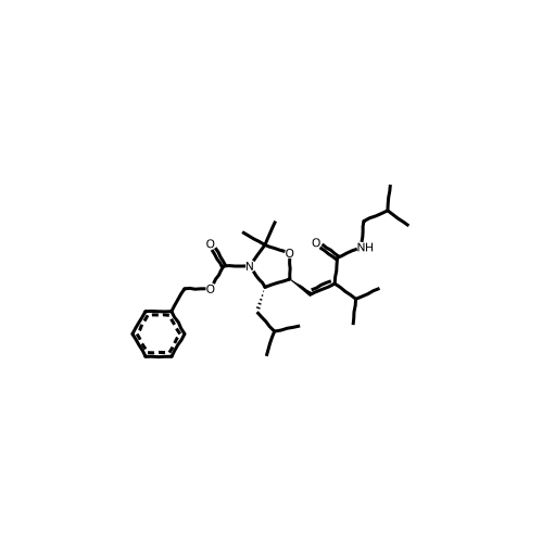 CC(C)CNC(=O)/C(=C\[C@@H]1OC(C)(C)N(C(=O)OCc2ccccc2)[C@H]1CC(C)C)C(C)C